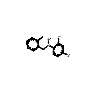 CC(=O)N(Cc1ccccc1C)c1ccc(Br)cc1Cl